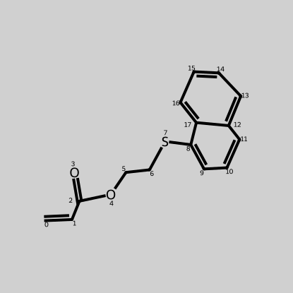 C=CC(=O)OCCSc1cccc2ccccc12